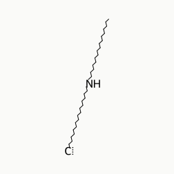 CCCCCCCCCCCCCCCCCCNCCCCCCCCCCCCCCCCCC.[C]